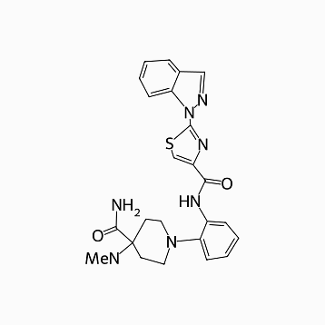 CNC1(C(N)=O)CCN(c2ccccc2NC(=O)c2csc(-n3ncc4ccccc43)n2)CC1